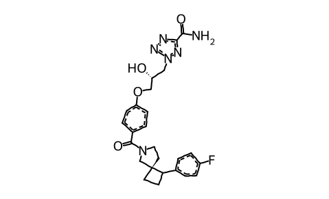 NC(=O)c1nnn(C[C@@H](O)COc2ccc(C(=O)N3CC[C@@]4(CCC4c4ccc(F)cc4)C3)cc2)n1